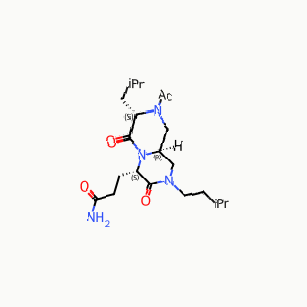 CC(=O)N1C[C@H]2CN(CCC(C)C)C(=O)[C@H](CCC(N)=O)N2C(=O)[C@@H]1CC(C)C